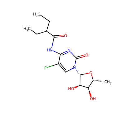 CCC(CC)C(=O)Nc1nc(=O)n([C@@H]2O[C@H](C)[C@@H](O)[C@H]2O)cc1F